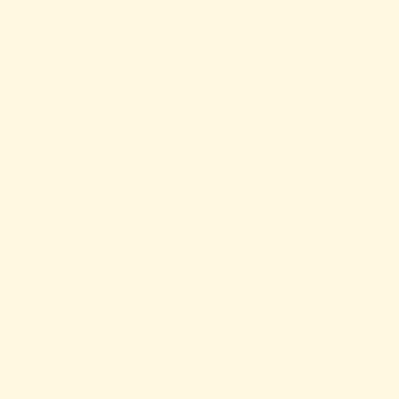 CC(C)c1cc(F)cc2c1OCCO2